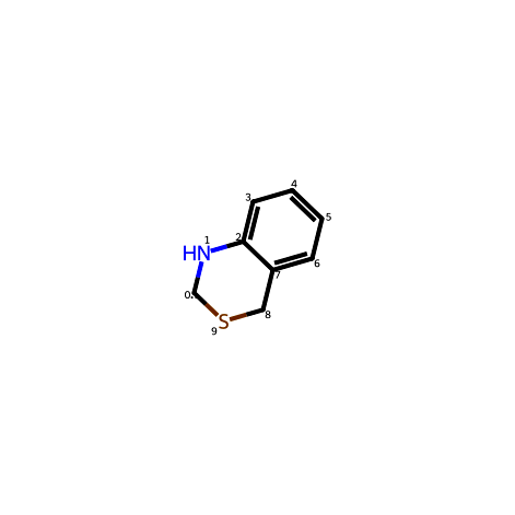 [C]1Nc2ccccc2CS1